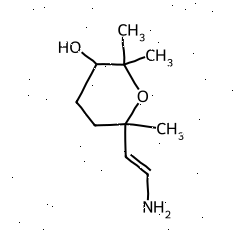 CC1(/C=C/N)CCC(O)C(C)(C)O1